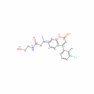 Cc1c(F)cccc1-c1cc(=O)oc2cc(N(C)CC(=O)NCCO)ccc12